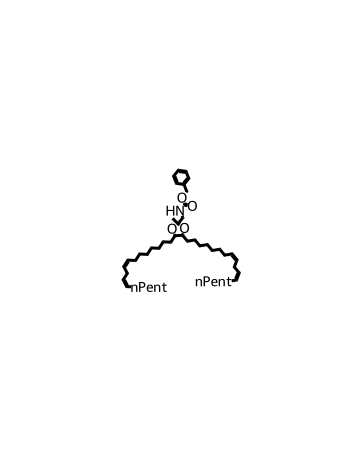 CCCCC/C=C\C/C=C\CCCCCCCC1OC(C)(CNC(=O)OCc2ccccc2)OC1CCCCCCC/C=C\C/C=C\CCCCC